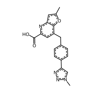 Cc1cc2nc(C(=O)O)cc(Cc3ccc(-c4cn(C)nn4)cc3)c2o1